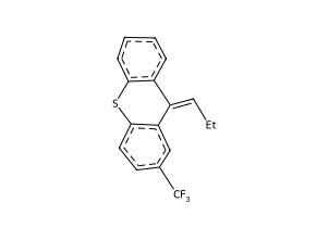 CCC=C1c2ccccc2Sc2ccc(C(F)(F)F)cc21